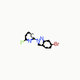 Fc1cccc(-n2cc3ccc(Br)cc3n2)n1